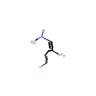 CCN(C)/C=C(\C=C\F)C(F)(F)F